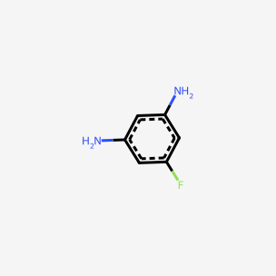 Nc1cc(N)cc(F)c1